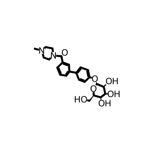 CN1CCN(C(=O)c2cccc(-c3ccc(O[C@H]4O[C@H](CO)[C@@H](O)[C@H](O)[C@@H]4O)cc3)c2)CC1